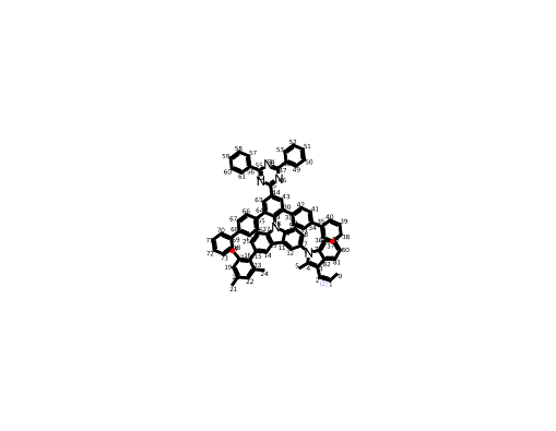 C/C=C\c1c(C)n(-c2ccc3c(c2)c2cc(-c4c(C)cc(C)cc4C)ccc2n3-c2c(-c3ccc(C4=CCCC=C4)cc3)cc(-c3nc(-c4ccccc4)nc(-c4ccccc4)n3)cc2-c2ccc(-c3ccccc3)cc2)c2ccccc12